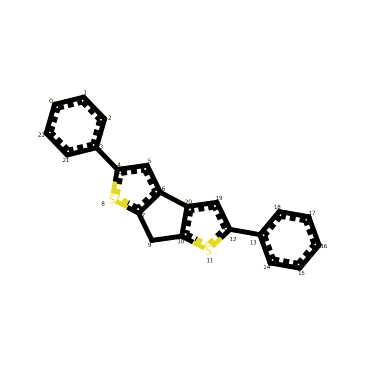 c1ccc(-c2cc3c(s2)Cc2sc(-c4ccccc4)cc2-3)cc1